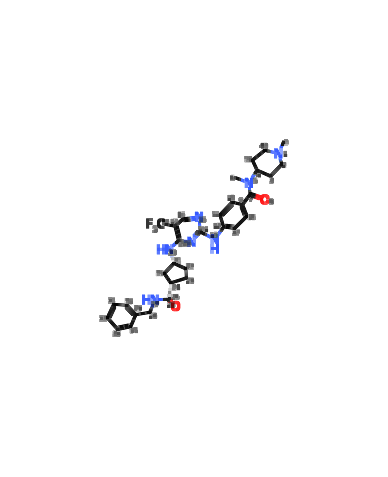 CN1CCC(N(C)C(=O)c2ccc(Nc3ncc(C(F)(F)F)c(N[C@@H]4CC[C@H](C(=O)NCc5ccccc5)C4)n3)cc2)CC1